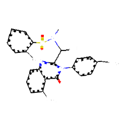 CCCCc1ccccc1S(=O)(=O)N(C)C(C)c1nc2cccc(OC)c2c(=O)n1-c1ccc(OC)cc1